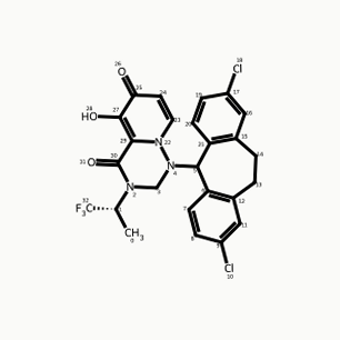 C[C@@H](N1CN(C2c3ccc(Cl)cc3CCc3cc(Cl)ccc32)n2ccc(=O)c(O)c2C1=O)C(F)(F)F